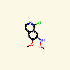 CONc1cc2c(Cl)nccc2cc1OC